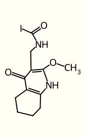 COc1[nH]c2c(c(=O)c1CNC(=O)I)CCCC2